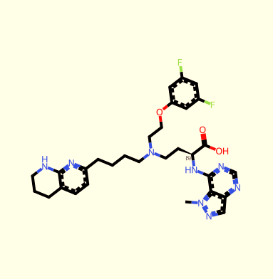 Cn1ncc2ncnc(N[C@@H](CCN(CCCCc3ccc4c(n3)NCCC4)CCOc3cc(F)cc(F)c3)C(=O)O)c21